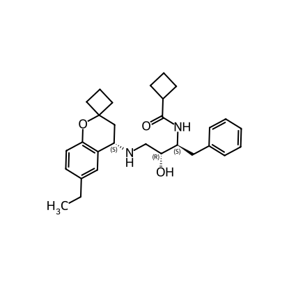 CCc1ccc2c(c1)[C@@H](NC[C@@H](O)[C@H](Cc1ccccc1)NC(=O)C1CCC1)CC1(CCC1)O2